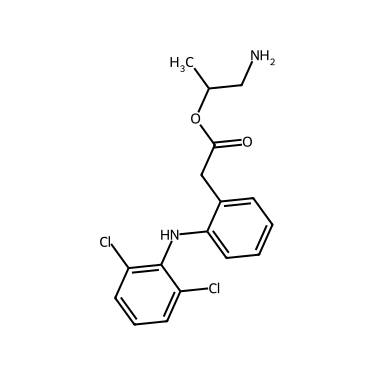 CC(CN)OC(=O)Cc1ccccc1Nc1c(Cl)cccc1Cl